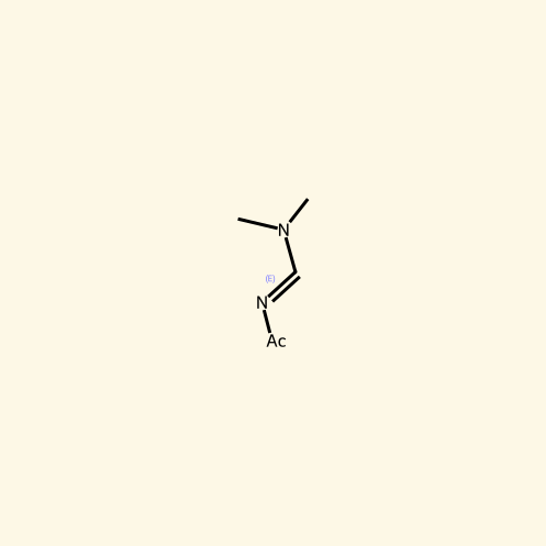 CC(=O)/N=C/N(C)C